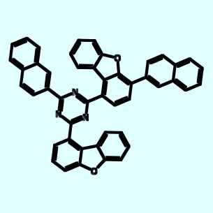 c1ccc2cc(-c3nc(-c4cccc5oc6ccccc6c45)nc(-c4ccc(-c5ccc6ccccc6c5)c5oc6ccccc6c45)n3)ccc2c1